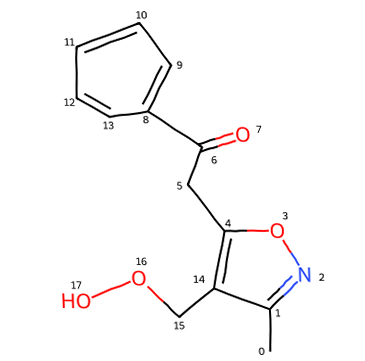 Cc1noc(CC(=O)c2ccccc2)c1COO